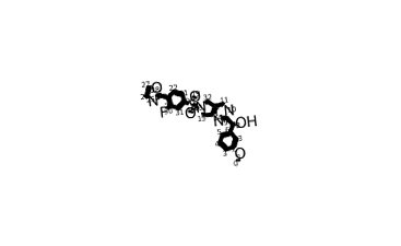 COc1cccc(C(O)c2ncc3c(n2)CN(S(=O)(=O)c2ccc(-c4ncco4)c(F)c2)C3)c1